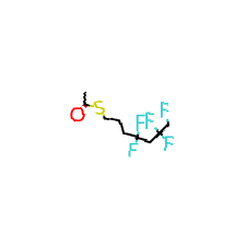 CC(=O)SCCCC(F)(F)CC(F)(F)CF